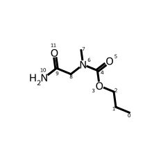 CCCOC(=O)N(C)CC(N)=O